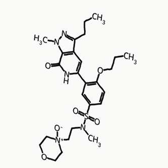 CCCOc1ccc(S(=O)(=O)N(C)CC[N+]2([O-])CCOCC2)cc1-c1cc2c(CCC)nn(C)c2c(=O)[nH]1